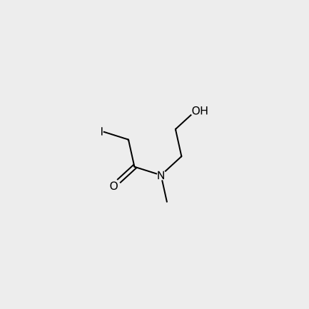 CN(CCO)C(=O)CI